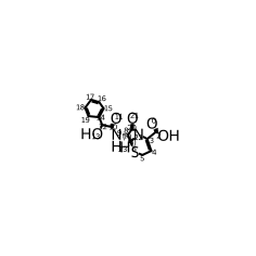 O=C(O)C1=CCS[C@H]2[C@H](NC(=O)C(O)c3ccccc3)C(=O)N12